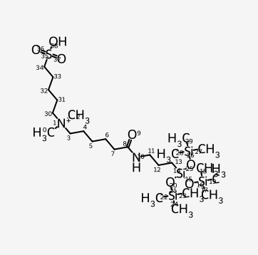 C[N+](C)(CCCCCC(=O)NCCC[Si](O[Si](C)(C)C)(O[Si](C)(C)C)O[Si](C)(C)C)CCCCCS(=O)(=O)O